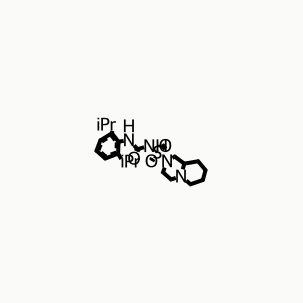 CC(C)c1cccc(C(C)C)c1NC(=O)NS(=O)(=O)N1CCN2CCCCC2C1